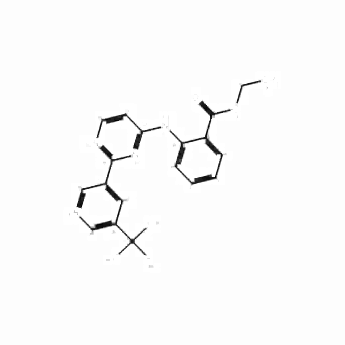 CCOC(=O)c1ccccc1Nc1ccnc(-c2cncc(C(F)(F)F)c2)n1